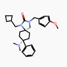 COc1ccc(CN2C[C@]3(CC[C@@](c4ccccc4)(N(C)C)CC3)N(CC3CCC3)C2=O)cc1